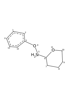 c1ccc(O[SiH2]C2CCCCO2)cc1